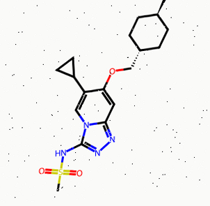 CS(=O)(=O)Nc1nnc2cc(OC[C@H]3CC[C@H](C)CC3)c(C3CC3)cn12